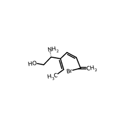 C=C(Br)/C=C\C(=CC)[C@@H](N)CO